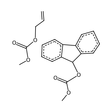 C=CCOC(=O)OC.COC(=O)OC1c2ccccc2-c2ccccc21